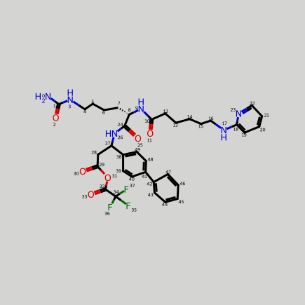 NC(=O)NCCCC[C@H](NC(=O)CCCCCNc1ccccn1)C(=O)NC(CC(=O)OC(=O)C(F)(F)F)c1ccc(-c2ccccc2)cc1